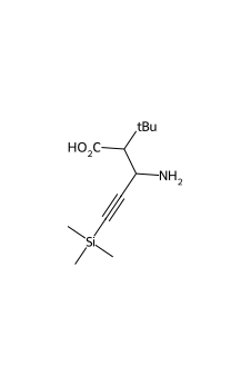 CC(C)(C)C(C(=O)O)C(N)C#C[Si](C)(C)C